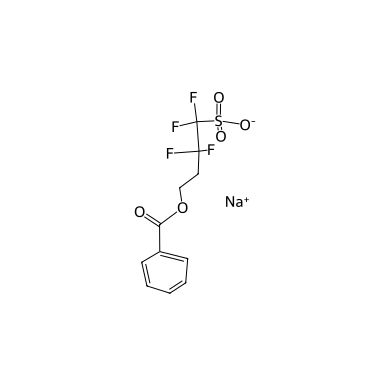 O=C(OCCC(F)(F)C(F)(F)S(=O)(=O)[O-])c1ccccc1.[Na+]